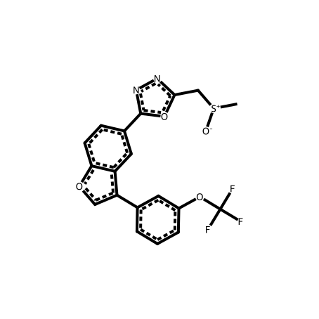 C[S+]([O-])Cc1nnc(-c2ccc3occ(-c4cccc(OC(F)(F)F)c4)c3c2)o1